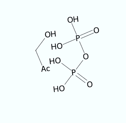 CC(=O)CO.O=P(O)(O)OP(=O)(O)O